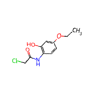 CCOc1ccc(NC(=O)CCl)c(O)c1